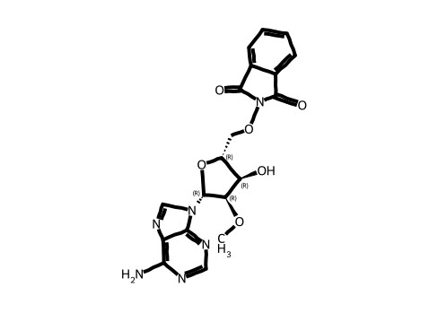 CO[C@@H]1[C@H](O)[C@@H](CON2C(=O)c3ccccc3C2=O)O[C@H]1n1cnc2c(N)ncnc21